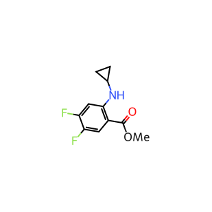 COC(=O)c1cc(F)c(F)cc1NC1CC1